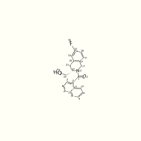 O=C(c1cccc2ccccc12)N1Cc2ccc(F)cc2C[C@H]1CO